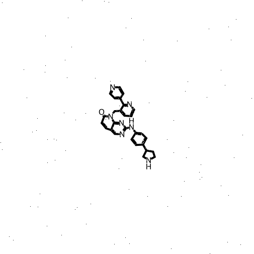 O=c1ccc2cnc(Nc3ccc(C4CCNC4)cc3)nc2n1Cc1cccnc1-c1ccncc1